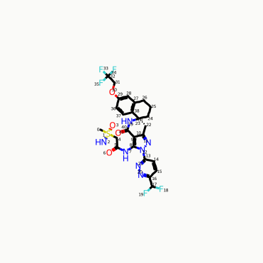 CS(=N)(=O)CC(=O)Nc1c2c(nn1-c1ccc(C(F)F)nn1)C[C@]1(CCCc3cc(OCC(F)(F)F)ccc31)NC2=O